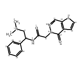 CN(C)CC(NC(=O)Cn1ncc2sccc2c1=O)c1ccccc1